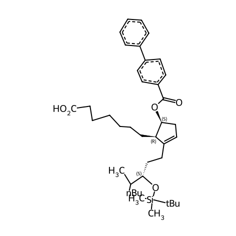 CCCCC(C)[C@H](CCC1=CC[C@H](OC(=O)c2ccc(-c3ccccc3)cc2)[C@@H]1CCCCCCC(=O)O)O[Si](C)(C)C(C)(C)C